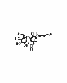 CCCCCCOC1OC(CO)[C@H](O[C@@H]2OC(CS)[C@H](O)[C@H](O)C2O)[C@H](O)C1O